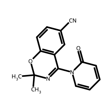 CC1(C)N=C(n2ccccc2=O)c2cc(C#N)ccc2O1